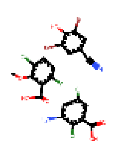 COc1c(Cl)ccc(Cl)c1C(=O)O.N#Cc1cc(Br)c(O)c(Br)c1.Nc1cc(Cl)cc(C(=O)O)c1Cl